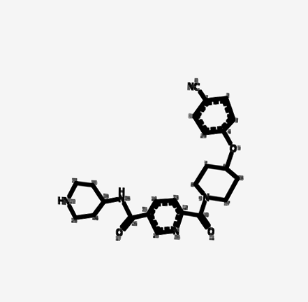 N#Cc1ccc(OC2CCN(C(=O)c3ccc(C(=O)NC4CCNCC4)cn3)CC2)cc1